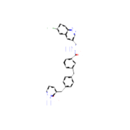 O=C(NCc1cnc2ccc(Cl)cc2c1)c1cccc(Cc2ccc(Cc3ccc[nH]c3=O)cc2)c1